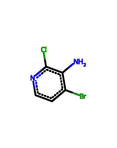 Nc1c(Br)ccnc1Cl